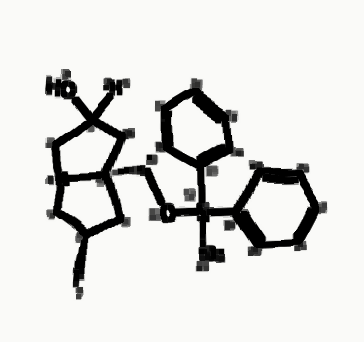 [2H]C1(O)CN2C[C@H](F)C[C@]2(CO[Si](c2ccccc2)(c2ccccc2)C(C)(C)C)C1